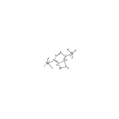 C[Si](C)(C)c1ccc([Si](C)(C)C)c2c1CC2